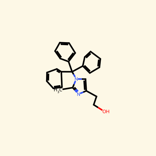 Cc1nc(CCO)cn1C(c1ccccc1)(c1ccccc1)c1ccccc1